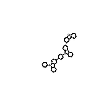 c1ccc(-n2c3ccccc3c3cc(-c4ccc(-n5c6ccccc6c6cc(-c7ccc8sc9ccccc9c8c7)ccc65)cc4)ccc32)cc1